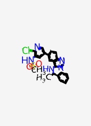 CC(Nc1ncnc2ccc(-c3cnc(Cl)c(NS(C)(=O)=O)c3)cc12)c1ccccc1